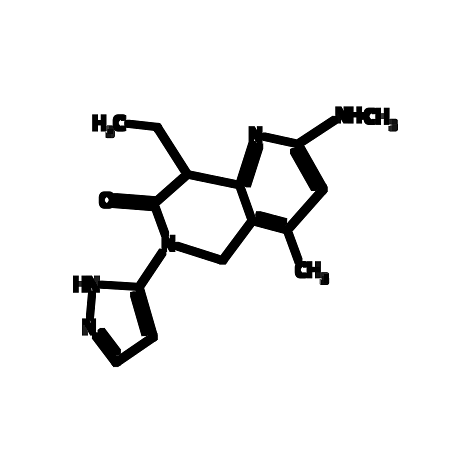 CCC1C(=O)N(c2ccn[nH]2)Cc2c(C)cc(NC)nc21